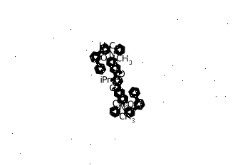 Cc1cccc(C)c1N(c1ccc2cc3c(cc2c1)oc1c(C(C)C)c2c(cc13)oc1cc3cc(N(c4c(C)cccc4C)c4cccc5c4oc4c(-c6ccccc6)cccc45)ccc3cc12)c1cccc2c1oc1c(-c3ccccc3)cccc12